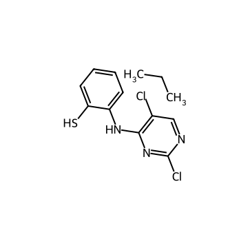 CCC.Sc1ccccc1Nc1nc(Cl)ncc1Cl